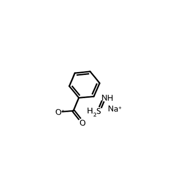 N=[SH2].O=C([O-])c1ccccc1.[Na+]